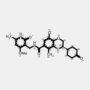 COc1cc(C)[nH]c(=O)c1CNC(=O)c1cc(Cl)c2c(c1C)O[C@H](C1CCC(=O)CC1)CO2